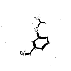 CC(Cl)Oc1cccc(CBr)c1